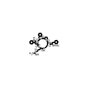 CC(=O)N[C@@H](Cc1ccccc1)C(=O)N[C@H]1CCCNC(=O)C(CCCNC(=N)N)NC(=O)C(Cc2c[nH]c3ccccc23)NC(=O)[C@@H](Cc2ccccc2)NC(=O)C2CCCN2C1=O